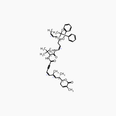 C/C=C\C[C@@H](C/C=C\NC(=O)[C@@H](NC(=O)C#C/C=C\C(C)=C\[C@H](C)[C@@H]1CC=C(C)C(=O)O1)C(C)(C)C)O[Si](c1ccccc1)(c1ccccc1)C(C)(C)C